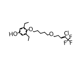 CCc1cc(O)cc(CC)c1OCCCCCOCCC=C(Cl)C(F)(F)F